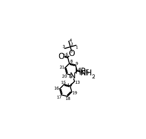 Br.CC(C)(C)OC(=O)C1=CC(N)N(Cc2ccccc2)C=C1